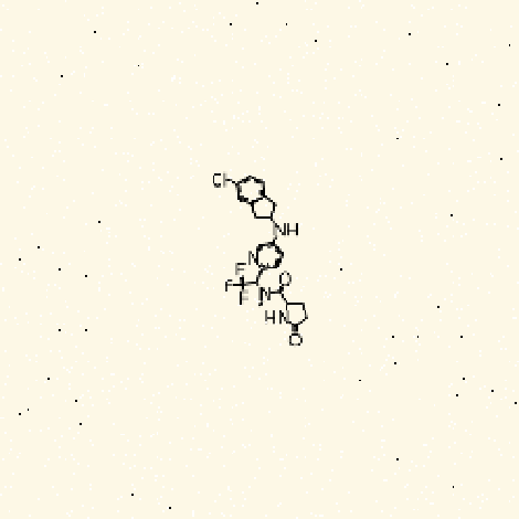 CN(C(=O)C1CCC(=O)N1)[C@@H](c1ccc(NC2Cc3ccc(Cl)cc3C2)cn1)C(F)(F)F